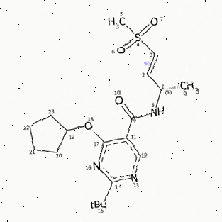 C[C@@H](/C=C/S(C)(=O)=O)NC(=O)c1cnc(C(C)(C)C)nc1OC1CCCC1